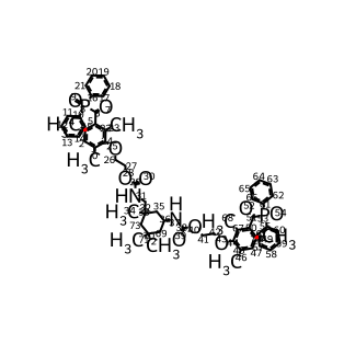 Cc1cc(C)c(C(=O)P(=O)(c2ccccc2)c2ccccc2)c(C)c1OCCOC(=O)NCC1(C)CC(NC(=O)OCCOc2c(C)cc(C)c(C(=O)P(=O)(c3ccccc3)c3ccccc3)c2C)CC(C)(C)C1